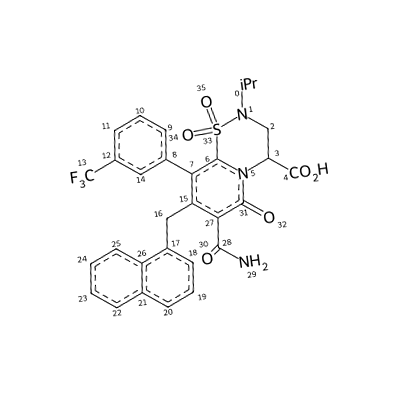 CC(C)N1CC(C(=O)O)n2c(c(-c3cccc(C(F)(F)F)c3)c(Cc3cccc4ccccc34)c(C(N)=O)c2=O)S1(=O)=O